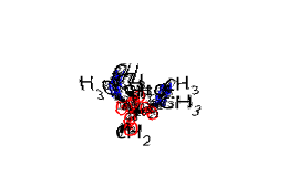 C=CC(=O)OCC(COC(=O)C=C)(COC(=O)CCN(C)CCN(C)C)COC(=O)CCN(C)CCN(C)C